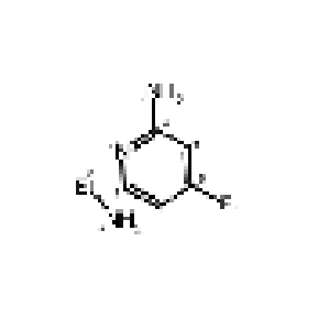 CCN.Nc1cc(F)ccn1